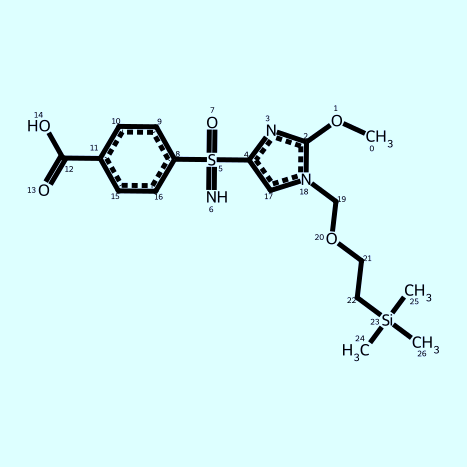 COc1nc(S(=N)(=O)c2ccc(C(=O)O)cc2)cn1COCC[Si](C)(C)C